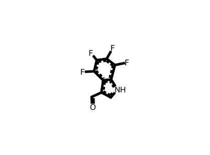 O=Cc1c[nH]c2c(F)c(F)c(F)c(F)c12